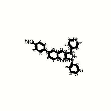 N#Cc1ccc(-c2ccc3nc4c(cc3c2)c(-c2ccncc2)nn4-c2ccccc2)cc1